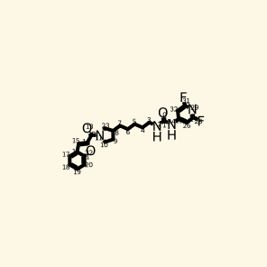 O=C(NCCCCCC1CCN(C(=O)c2cc3ccccc3o2)C1)Nc1cc(F)nc(F)c1